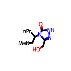 CCCC(CNC)n1c(CO)n[nH]c1=O